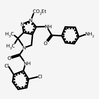 CCOC(=O)n1nc2c(c1NC(=O)c1ccc(N)cc1)CN(C(=O)Nc1c(Cl)cccc1Cl)C2(C)C